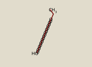 CCCCCCCC/C=C\CCCCCCCCOCCOCCOCCOCCOCCOCCOCCOCCOCCOCCOCCOCCOCCOCCOCCOCCOCCOCCOCCOCCO